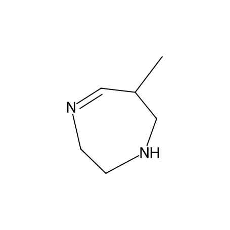 CC1C=NCCNC1